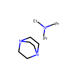 C1CN2CCN1CC2.CCN(C(C)C)C(C)C